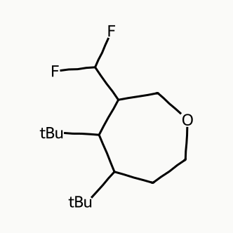 CC(C)(C)C1CCOCC(C(F)F)C1C(C)(C)C